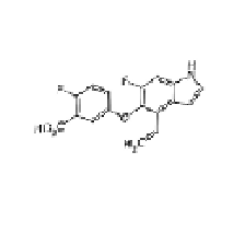 C=Cc1c(Oc2ccc(F)c(C(=O)O)c2)c(F)cc2[nH]ccc12